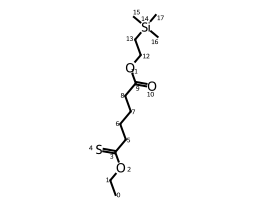 CCOC(=S)CCCCC(=O)OCC[Si](C)(C)C